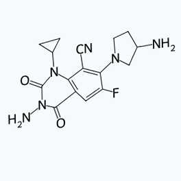 N#Cc1c(N2CCC(N)C2)c(F)cc2c(=O)n(N)c(=O)n(C3CC3)c12